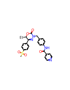 CCC1OC(=O)N(Cc2ccc(NC(=O)c3ccncc3)cc2)N=C1c1ccc(S(C)(=O)=O)cc1